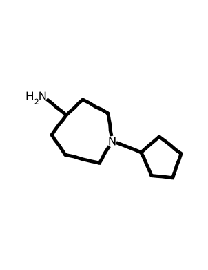 NC1CCCN(C2CCCC2)CC1